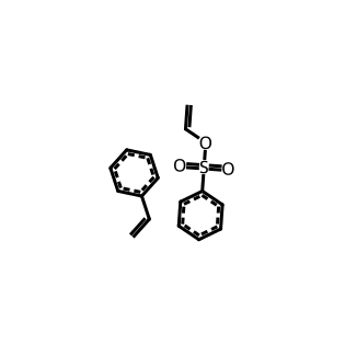 C=COS(=O)(=O)c1ccccc1.C=Cc1ccccc1